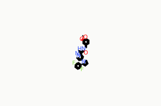 O=C(NCc1ccc2c(c1)OCO2)c1cnn2ccc(N3CCC[C@@H]3c3cc(F)ccc3F)cc12